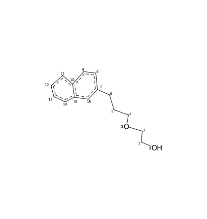 OCCOCCCc1ccc2ccccc2c1